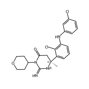 C[C@@]1(c2cccc(Nc3cccc(Cl)c3)c2Cl)CC(=O)N(C2CCOCC2)C(=N)N1